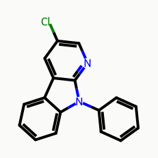 Clc1cnc2c(c1)c1ccccc1n2-c1ccccc1